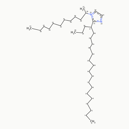 CCCCCCCCCCCCCCCCCC(CCC)c1nccn1C(C)CCCCCCCCCC